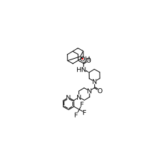 O=C(N1CCN(c2ncccc2C(F)(F)F)CC1)N1CCC[C@H](NC(=O)C23CC4CC(C2)C(O)C(C4)C3)C1